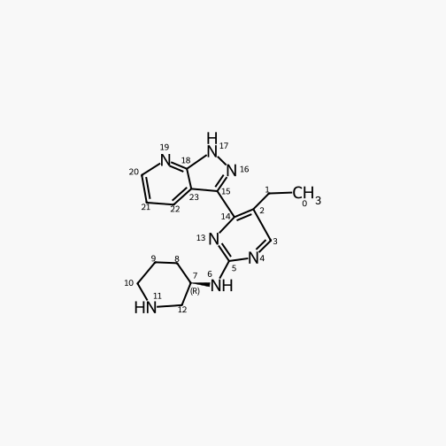 CCc1cnc(N[C@@H]2CCCNC2)nc1-c1n[nH]c2ncccc12